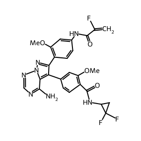 C=C(F)C(=O)Nc1ccc(-c2nn3ncnc(N)c3c2-c2ccc(C(=O)NC3CC3(F)F)c(OC)c2)c(OC)c1